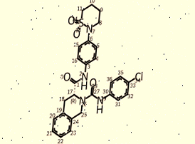 O=C(Nc1ccc(N2CCCCS2(=O)=O)cc1)[C@H]1Cc2ccccc2CN1C(=O)Nc1ccc(Cl)cc1